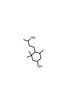 CC(O)CCC1C(C)CC(O)CC1(C)C